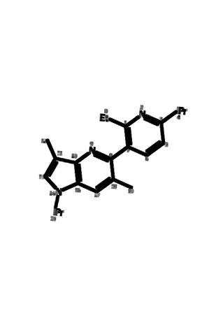 CCc1nc(C(C)C)ccc1-c1nc2c(C)cn(C(C)C)c2cc1C